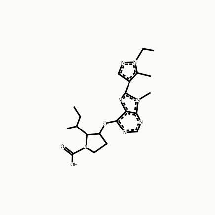 CCC(C)C1C(Oc2ncnc3c2nc(-c2cnn(CC)c2C)n3C)CCN1C(=O)O